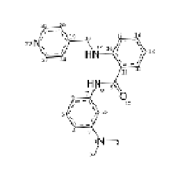 CN(C)c1cccc(NC(=O)c2ccccc2NCc2ccncc2)c1